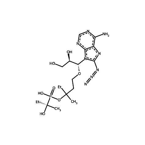 CCC(C)(CCO[C@H]([C@H](O)CO)n1c(N=[N+]=[N-])nc2c(N)ncnc21)OP(=O)(O)[C@@](C)(O)CC